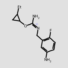 CCC1CC1O/C(N)=N\Cc1cc(N)ccc1F